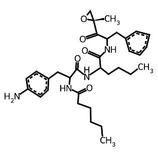 CCCCCC(=O)NC(Cc1ccc(N)cc1)C(=O)NC(CCCC)C(=O)NC(Cc1ccccc1)C(=O)[C@@]1(C)CO1